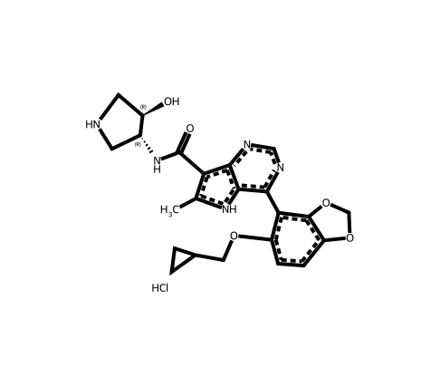 Cc1[nH]c2c(-c3c(OCC4CC4)ccc4c3OCO4)ncnc2c1C(=O)N[C@@H]1CNC[C@H]1O.Cl